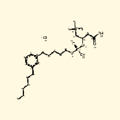 CCCCCCc1cccc(CCCCCOP(=O)(O)OC(CC(=O)O)C[N+](C)(C)C)c1.[OH-]